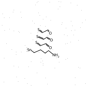 NCCC[CH2][Sn].O=CC=S.O=CC=S.O=CC=S